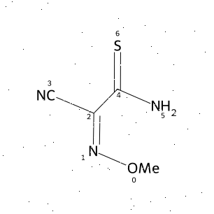 CO/N=C(/C#N)C(N)=S